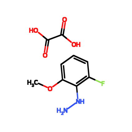 COc1cccc(F)c1NN.O=C(O)C(=O)O